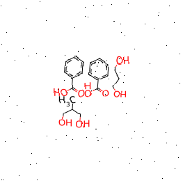 CC(CO)CO.O=C(O)c1ccccc1.O=C(O)c1ccccc1.OCCCO